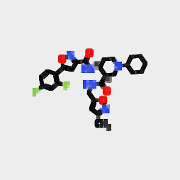 Cc1cc(CNC(=O)[C@@H]2CN(C3CCCCC3)CC[C@H]2NC(=O)c2cc(-c3ccc(F)cc3F)on2)on1